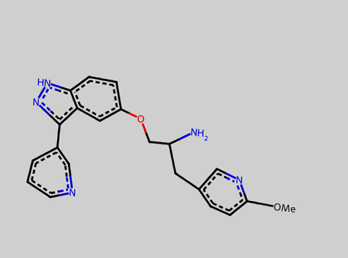 COc1ccc(CC(N)COc2ccc3[nH]nc(-c4cccnc4)c3c2)cn1